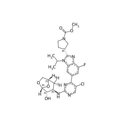 [2H]C1([2H])[C@H]2CO[C@H](O2)[C@@H](O)[C@@H]1Nc1ncc(Cl)c(-c2cc(F)c3nc([C@@H]4CCN(C(=O)OC)C4)n(C(C)C)c3c2)n1